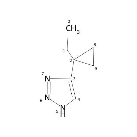 CCC1(c2c[nH]nn2)CC1